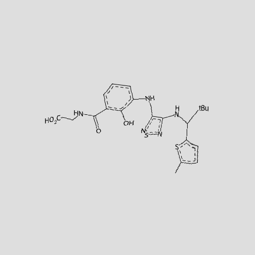 Cc1ccc(C(Nc2nsnc2Nc2cccc(C(=O)NCC(=O)O)c2O)C(C)(C)C)s1